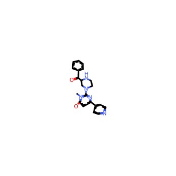 Cn1c(N2CCNC(C(=O)c3ccccc3)C2)nc(-c2ccncc2)cc1=O